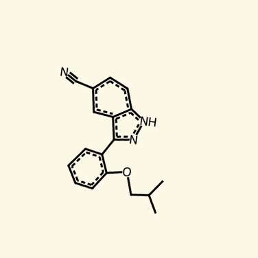 CC(C)COc1ccccc1-c1n[nH]c2ccc(C#N)cc12